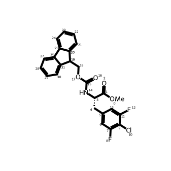 COC(=O)[C@H](Cc1cc(F)c(Cl)c(F)c1)NC(=O)OCC1c2ccccc2-c2ccccc21